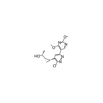 COc1ncc(-c2cc([C@H]3C[C@@H]3[C@H](C)O)c(Cl)nn2)c(OC)n1